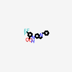 COC(=O)c1cc(C(F)(F)F)ccc1NC1C=c2ccn(Cc3ccccc3)c2=CC1